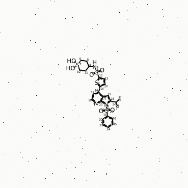 O=S(=O)(NC1CCS(O)(O)CC1)c1ccc(-c2ccnc3c2cc(C(F)F)n3S(=O)(=O)c2ccccc2)s1